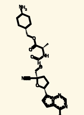 C[C@H](N[PH](=O)OC[C@]1(C#N)CC[C@H](c2ccc3c(N)ncnn23)O1)C(=O)OC[C@H]1CC[C@H](N)CC1